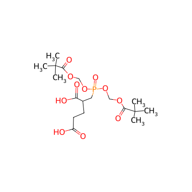 CC(C)(C)C(=O)OCOP(=O)(CC(CCC(=O)O)C(=O)O)OCOC(=O)C(C)(C)C